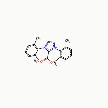 Cc1cccc(C)c1-n1cc[n+](-c2c(C)cccc2C)c1C(=O)[O-]